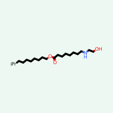 CC(C)CCCCCCCCOC(=O)CCCCCCCNCCO